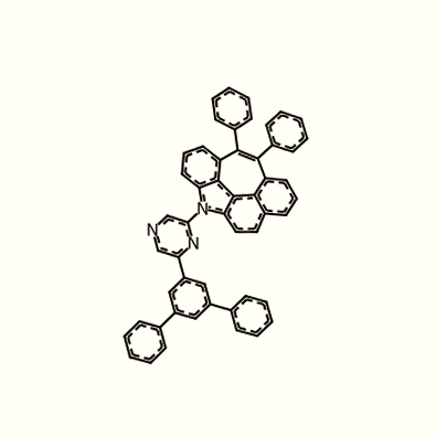 c1ccc(C2=C(c3ccccc3)c3cccc4c3c3c5c2cccc5ccc3n4-c2cncc(-c3cc(-c4ccccc4)cc(-c4ccccc4)c3)n2)cc1